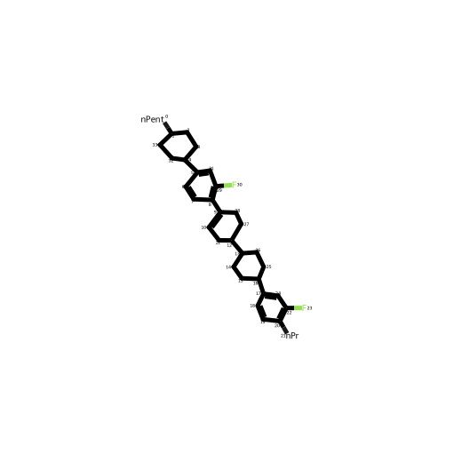 CCCCCC1CCC(c2ccc(C3=CCC(C4CCC(c5ccc(CCC)c(F)c5)CC4)CC3)c(F)c2)CC1